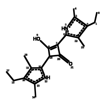 CCc1c(C)[nH]c(C2=C(O)C(c3[nH]c(C)c(CC)c3C)C2=O)c1C